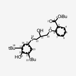 CC(C)COC(=O)c1ccccc1OCC(O)CSc1cc(C(C)(C)C)c(O)c(C(C)(C)C)c1